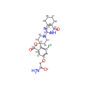 NC(=O)COc1cc(F)c2c(c1)C(=O)OC21CCN(c2nc3c(c(=O)[nH]2)CCCC3)CC1